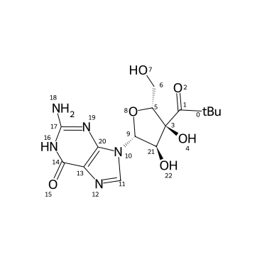 CC(C)(C)C(=O)[C@@]1(O)[C@@H](CO)O[C@@H](n2cnc3c(=O)[nH]c(N)nc32)[C@@H]1O